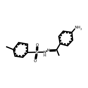 C/C(=N\NS(=O)(=O)c1ccc(C)cc1)c1ccc(N)cc1